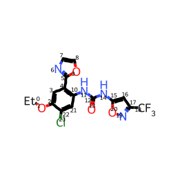 CCOc1cc(-c2ncco2)c(NC(=O)Nc2cc(C(F)(F)F)no2)cc1Cl